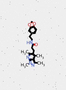 Cc1nc2c(c(C)nn2C)c(C)c1CCC(=O)NCCc1ccc2c(c1)OCO2